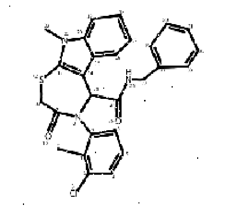 Cc1c(Cl)cccc1N1C(=O)CSc2c(c3ccccc3n2C)C1C(=O)NCc1ccccc1